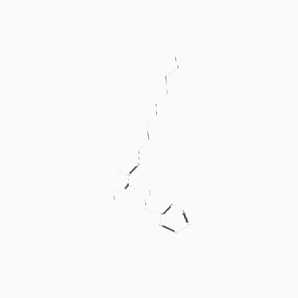 CCCCCCCCCC=C(C)C(=O)OCc1ccccc1